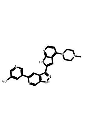 CN1CCN(c2ccnc3[nH]c(-c4n[nH]c5cnc(-c6cncc(O)c6)cc45)cc23)CC1